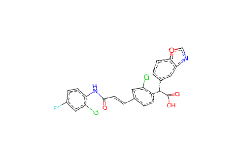 O=C(C=Cc1ccc(C(C(=O)O)c2ccc3ocnc3c2)c(Cl)c1)Nc1ccc(F)cc1Cl